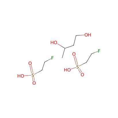 CC(O)CCO.O=S(=O)(O)CCF.O=S(=O)(O)CCF